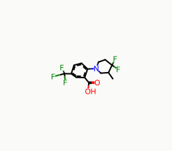 CC1CN(c2ccc(C(F)(F)F)cc2C(=O)O)CCC1(F)F